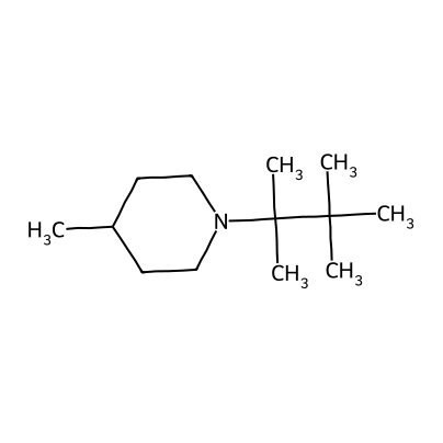 CC1CCN(C(C)(C)C(C)(C)C)CC1